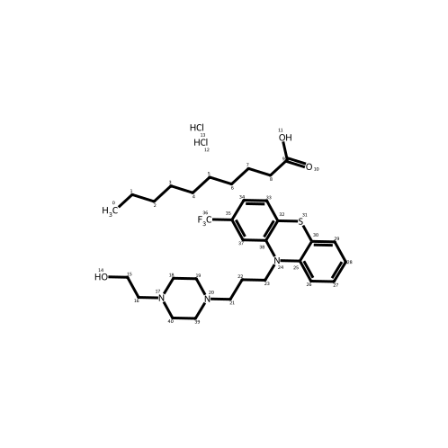 CCCCCCCCCC(=O)O.Cl.Cl.OCCN1CCN(CCCN2c3ccccc3Sc3ccc(C(F)(F)F)cc32)CC1